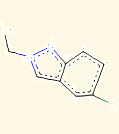 CC(C)Cn1cc2cc(Br)ccc2n1